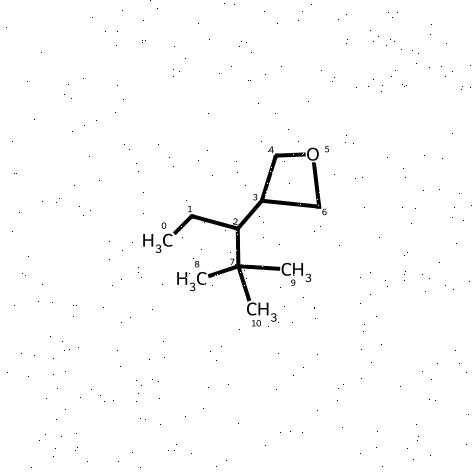 CCC(C1COC1)C(C)(C)C